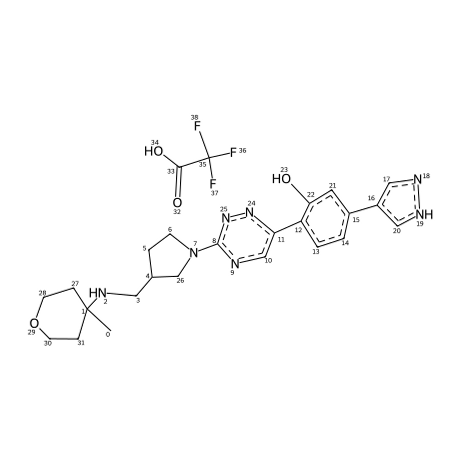 CC1(NCC2CCN(c3ncc(-c4ccc(-c5cn[nH]c5)cc4O)nn3)C2)CCOCC1.O=C(O)C(F)(F)F